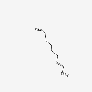 [CH2]C=CCCCCCCCCC